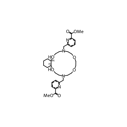 COC(=O)c1cccc(CN2CCOCCOCCN(Cc3cccc(C(=O)OC)n3)CCO[C@@H]3CCCC[C@@H]3OCC2)n1